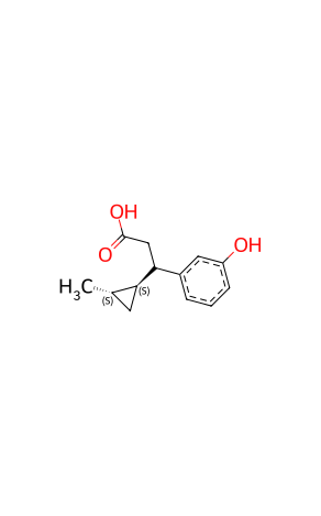 C[C@H]1C[C@@H]1C(CC(=O)O)c1cccc(O)c1